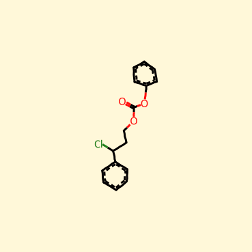 O=C(OCCC(Cl)c1ccccc1)Oc1ccccc1